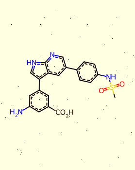 CS(=O)(=O)Nc1ccc(-c2cnc3[nH]cc(-c4cc(N)cc(C(=O)O)c4)c3c2)cc1